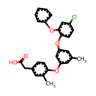 Cc1cc(Oc2ccc(CC(=O)O)cc2C)cc(Oc2ccc(Cl)cc2Oc2ccccc2)c1